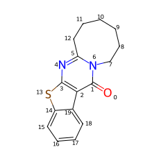 O=c1c2c(nc3n1CCCCCC3)sc1ccccc12